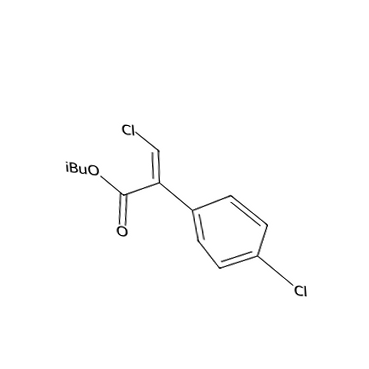 CC(C)COC(=O)C(=CCl)c1ccc(Cl)cc1